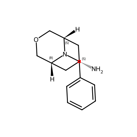 N[C@H]1C[C@H]2COC[C@@H](C1)N2Cc1ccccc1